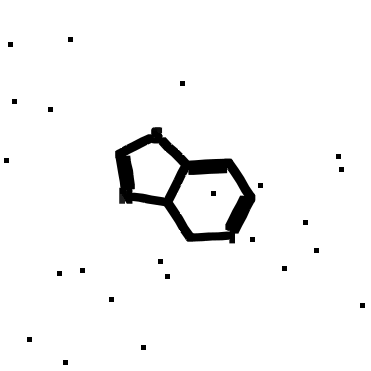 C1=NC2CI=CC=C2S1